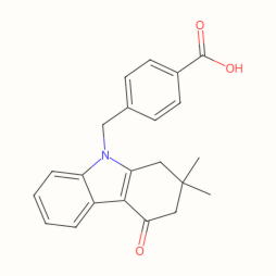 CC1(C)CC(=O)c2c(n(Cc3ccc(C(=O)O)cc3)c3ccccc23)C1